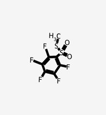 CSS(=O)(=O)c1c(F)c(F)c(F)c(F)c1F